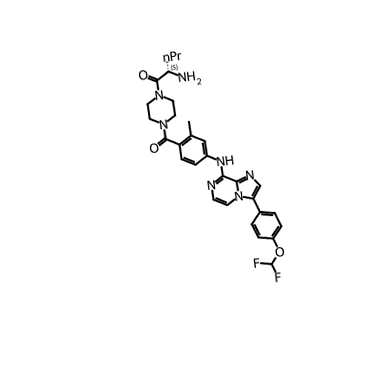 CCC[C@H](N)C(=O)N1CCN(C(=O)c2ccc(Nc3nccn4c(-c5ccc(OC(F)F)cc5)cnc34)cc2C)CC1